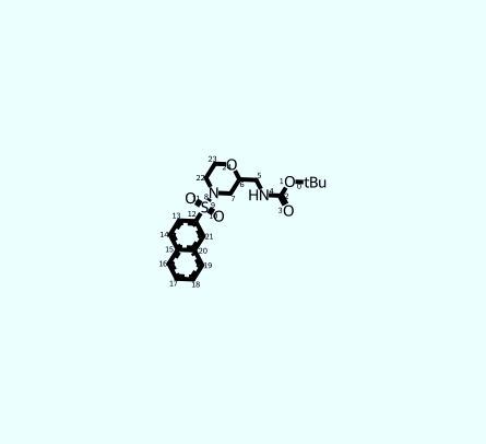 CC(C)(C)OC(=O)NCC1CN(S(=O)(=O)c2ccc3ccccc3c2)CCO1